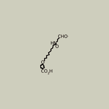 O=[C]CCCNC(=O)CCCCCCCCCCOc1ccc(C(=O)O)cc1